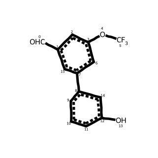 O=Cc1cc(OC(F)(F)F)cc(-c2cccc(O)c2)c1